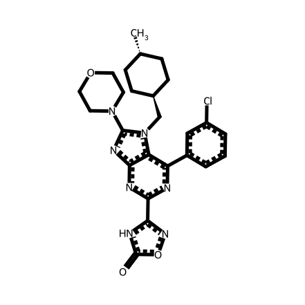 C[C@H]1CC[C@H](Cn2c(N3CCOCC3)nc3nc(-c4noc(=O)[nH]4)nc(-c4cccc(Cl)c4)c32)CC1